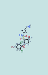 CN=C[C@H]1C[C@H](NS(=O)(=O)c2cc(Oc3c(Cl)cc(Br)cc3Cl)ccc2OC)C1